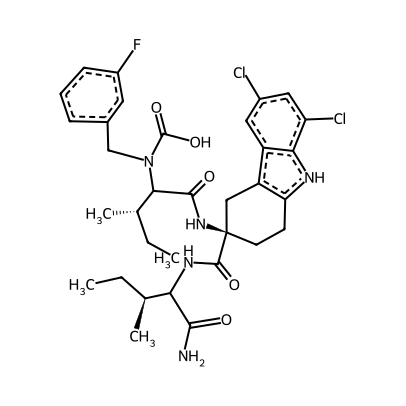 CC[C@H](C)C(NC(=O)[C@@]1(NC(=O)C([C@@H](C)CC)N(Cc2cccc(F)c2)C(=O)O)CCc2[nH]c3c(Cl)cc(Cl)cc3c2C1)C(N)=O